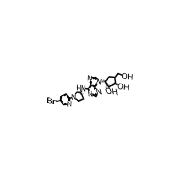 OCC1C[C@@H](n2cnc3c(N[C@H]4CCN(c5ccc(Br)cn5)C4)ncnc32)[C@H](O)C1O